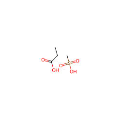 CCC(=O)O.CS(=O)(=O)O